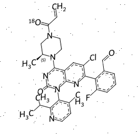 C=CC(=[18O])N1CCN(c2nc(=O)n(-c3c(C)ccnc3C(C)C)c3nc(-c4c(F)cccc4C=O)c(Cl)cc23)[C@@H](C)C1